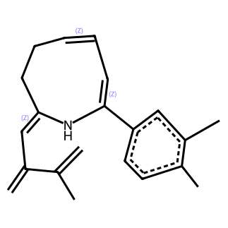 C=C(C)C(=C)/C=C1/CC/C=C\C=C(\c2ccc(C)c(C)c2)N1